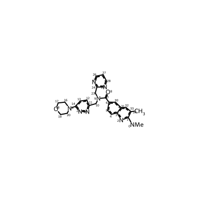 CNc1nc2ccc(C(=O)N(Cc3ccc(N4CCOCC4)nn3)Cc3ncccn3)cc2cc1C